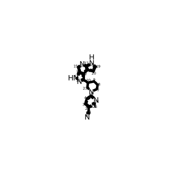 N#Cc1ccc(N2CCCC(c3n[nH]c4cnc5[nH]ccc5c34)C2)nn1